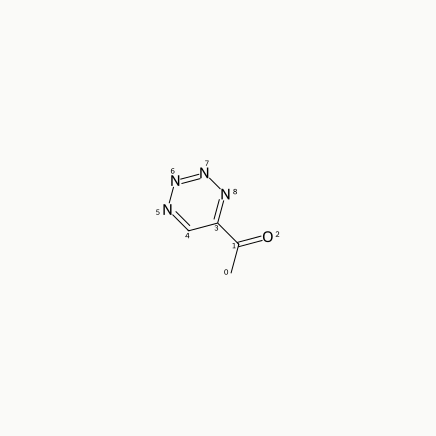 CC(=O)c1cnnnn1